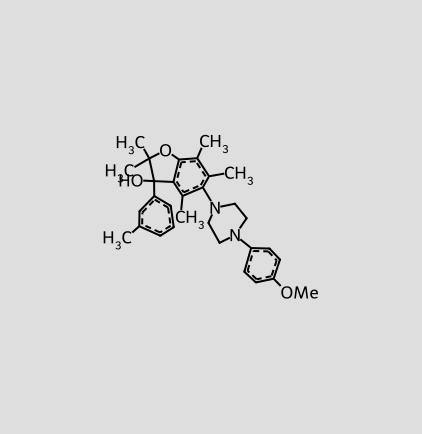 COc1ccc(N2CCN(c3c(C)c(C)c4c(c3C)C(O)(c3cccc(C)c3)C(C)(C)O4)CC2)cc1